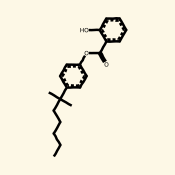 CCCCCC(C)(C)c1ccc(OC(=O)c2ccccc2O)cc1